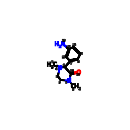 CN1CCN(C)C(c2cccc(N)c2)C1=O